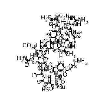 CC[C@H](C)[C@H](NC(=O)COCCOCCN)C(=O)N[C@@H](CS)C(=O)N[C@H](C(=O)N[C@@H](Cc1cn(C)c2ccccc12)C(=O)N[C@@H](CCC(N)=O)C(=O)N[C@@H](CC(=O)O)C(=O)N[C@@H](Cc1c[nH]c2ccccc12)C(=O)NCC(=O)N[C@@H](C)C(=O)N[C@@H](Cc1c[nH]cn1)C(=O)N[C@@H](CCCNC(=N)N)C(=O)N[C@@H](CS)C(=O)N[C@H](C(=O)O)[C@@H](C)O)C(C)C